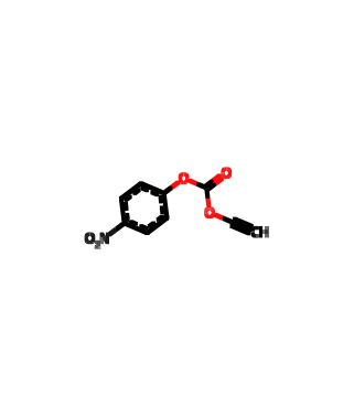 C#COC(=O)Oc1ccc([N+](=O)[O-])cc1